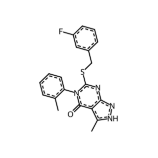 Cc1ccccc1-n1c(SCc2cccc(F)c2)nc2n[nH]c(C)c2c1=O